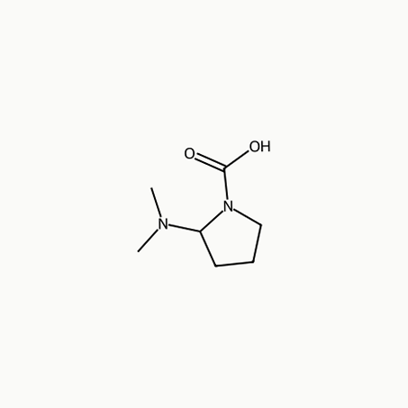 CN(C)C1CCCN1C(=O)O